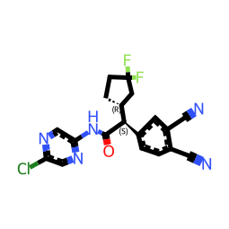 N#Cc1ccc([C@@H](C(=O)Nc2cnc(Cl)cn2)[C@@H]2CCC(F)(F)C2)cc1C#N